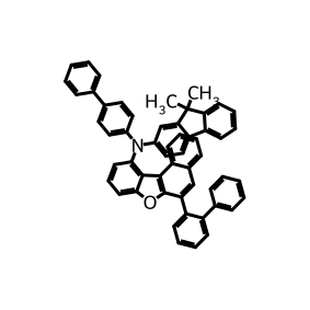 CC1(C)c2ccccc2-c2ccc(N(c3ccc(-c4ccccc4)cc3)c3cccc4oc5c(-c6ccccc6-c6ccccc6)cc6ccccc6c5c34)cc21